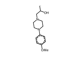 [CH2]C(O)CN1CCN(c2ccc(OC)cc2)CC1